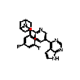 Fc1cc(F)cc(CN2C3CC2CN(c2ccc(-c4ncnc5[nH]ccc45)cn2)C3)c1